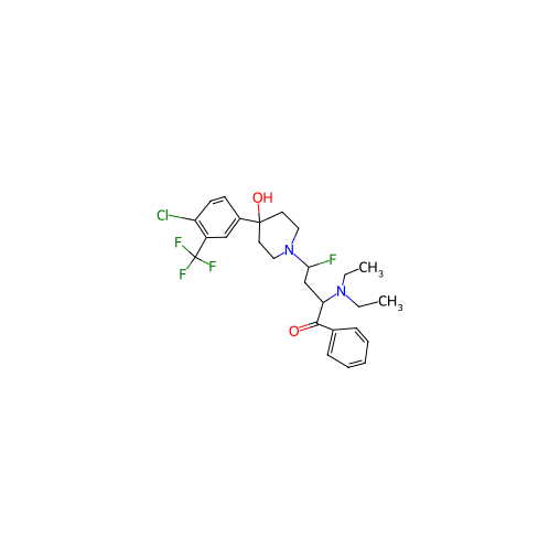 CCN(CC)C(CC(F)N1CCC(O)(c2ccc(Cl)c(C(F)(F)F)c2)CC1)C(=O)c1ccccc1